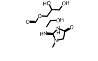 CCO.CN1CC(=O)NC1=N.O=COCC(O)CO